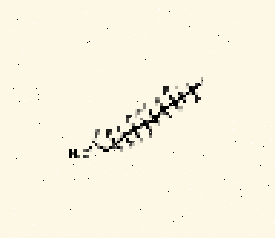 CN(F)CC(F)(F)C(F)(F)C(F)(F)C(F)(F)C(F)(F)C(F)(F)C(F)(F)C(F)(F)C(F)(F)F